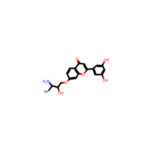 CC(C)C(N)C(O)COc1ccc2c(=O)cc(-c3cc(O)cc(O)c3)oc2c1